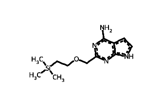 C[Si](C)(C)CCOCc1nc(N)c2cc[nH]c2n1